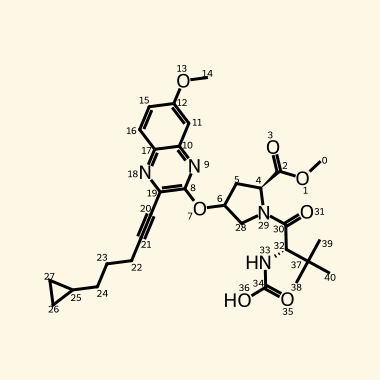 COC(=O)[C@@H]1CC(Oc2nc3cc(OC)ccc3nc2C#CCCCC2CC2)CN1C(=O)[C@@H](NC(=O)O)C(C)(C)C